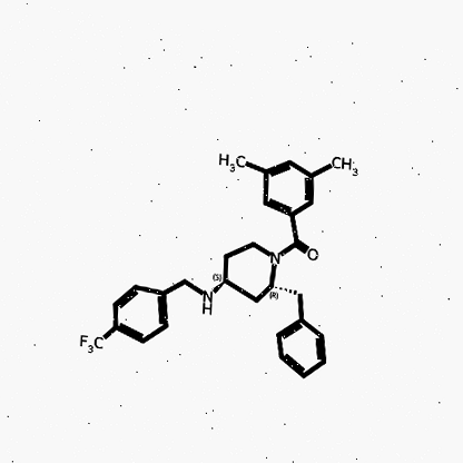 Cc1cc(C)cc(C(=O)N2CC[C@H](NCc3ccc(C(F)(F)F)cc3)C[C@H]2Cc2ccccc2)c1